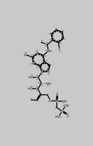 C/C=C(/COP(=O)(O)CP(=O)(O)O)[C@@H](O)[C@@H](O)[C@@H](O)n1ncc2c(N[C@@H](C)c3ccccc3F)nc(Cl)nc21